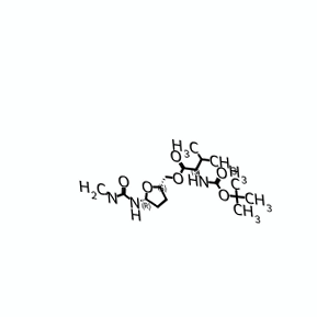 C=NC(=O)N[C@H]1CC[C@@H](COC(=O)[C@@H](NC(=O)OC(C)(C)C)C(C)C)O1